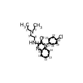 CCN(CC)CCNc1nc2ccccc2n(-c2ccc(Cl)cc2)c1=O